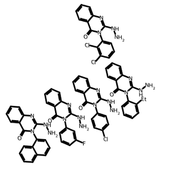 CCc1ccccc1-n1c(NN)nc2ccccc2c1=O.NNc1nc2ccccc2c(=O)n1-c1ccc(Cl)cc1.NNc1nc2ccccc2c(=O)n1-c1cccc(Cl)c1Cl.NNc1nc2ccccc2c(=O)n1-c1cccc(F)c1.NNc1nc2ccccc2c(=O)n1-c1cccc2ccccc12